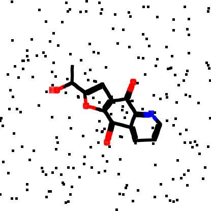 CC(O)c1cc2c(o1)C(=O)c1cccnc1C2=O